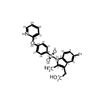 Cc1c(CC(=O)O)c2cc(F)ccc2n1S(=O)(=O)c1ccc(Oc2ccccn2)cc1